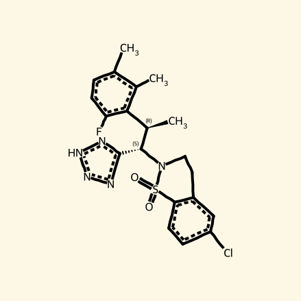 Cc1ccc(F)c([C@@H](C)[C@@H](c2nn[nH]n2)N2CCc3cc(Cl)ccc3S2(=O)=O)c1C